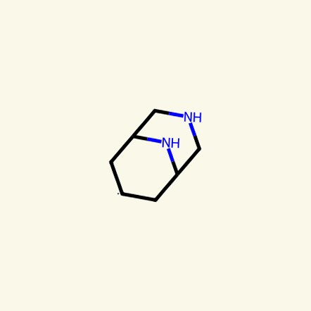 [CH]1CC2CNCC(C1)N2